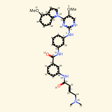 COc1cnc(Nc2cccc(NC(=O)c3cccc(NC(=O)/C=C/CN(C)C)c3)c2)nc1-n1ccc2c(OC)cccc21